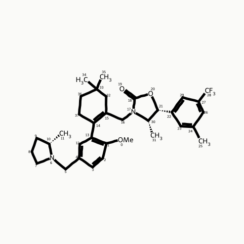 COc1ccc(CN2CCC[C@@H]2C)cc1C1=C(CN2C(=O)O[C@H](c3cc(C)cc(C(F)(F)F)c3)[C@@H]2C)CC(C)(C)CC1